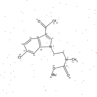 CN(CCn1cc(C(=O)C(F)(F)F)c2ccc(Cl)cc21)C(=O)OC(C)(C)C